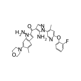 Cc1cc2cc(C(=O)c3cnn(-c4cnc(Oc5ccccc5F)cc4C)c3N)n(N)c2cc1N1CCOCC1